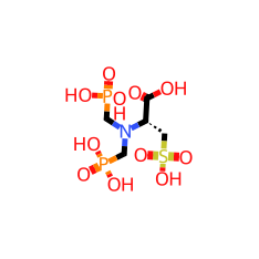 O=C(O)[C@H](CS(=O)(=O)O)N(CP(=O)(O)O)CP(=O)(O)O